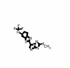 CSc1nn2c(-c3nc4ccc(OC(F)(F)F)cc4s3)cnc2s1